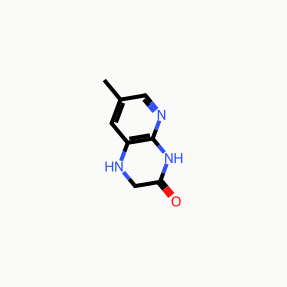 Cc1cnc2c(c1)NCC(=O)N2